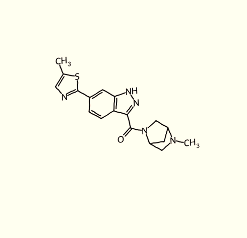 Cc1cnc(-c2ccc3c(C(=O)N4CC5CC4CN5C)n[nH]c3c2)s1